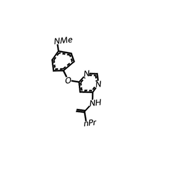 C=C(CCC)Nc1cc(Oc2ccc(NC)cc2)ncn1